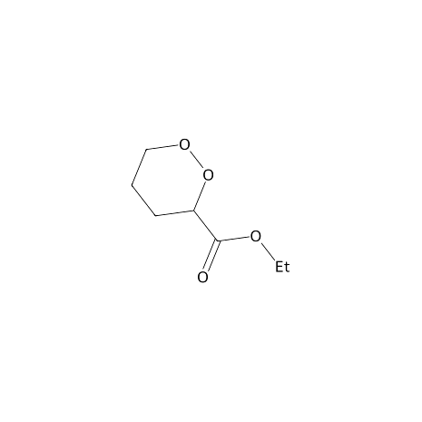 CCOC(=O)C1CCCOO1